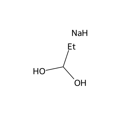 CCC(O)O.[NaH]